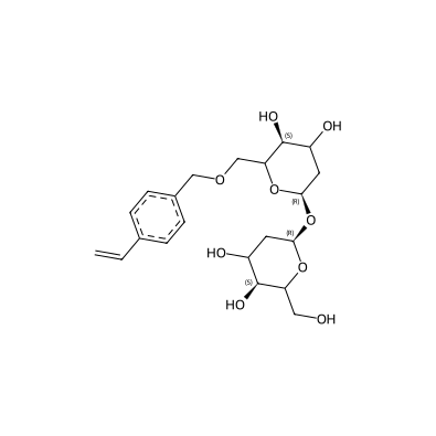 C=Cc1ccc(COCC2O[C@H](O[C@@H]3CC(O)[C@H](O)C(CO)O3)CC(O)[C@@H]2O)cc1